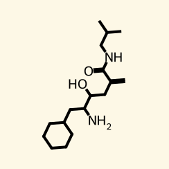 C=C(CC(O)C(N)CC1CCCCC1)C(=O)NCC(C)C